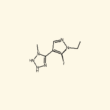 CCn1ncc(C2=NNNN2C)c1I